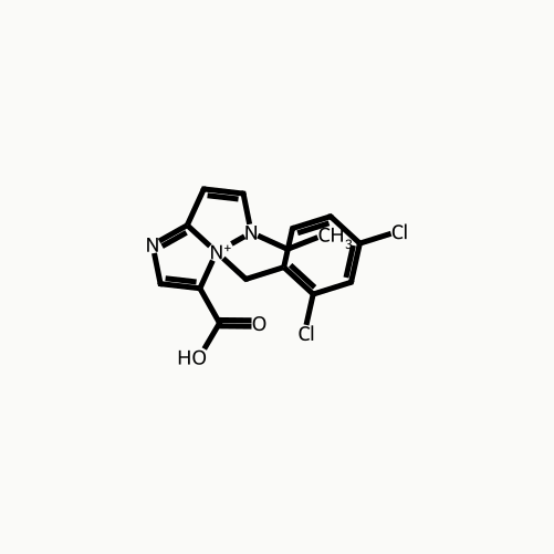 CCN1C=CC2=NC=C(C(=O)O)[N+]21Cc1ccc(Cl)cc1Cl